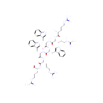 N=C(N)NCCC[C@H](NC(=O)[C@H](CCCNC(=N)N)NC(=O)[C@H](Cc1c[nH]c2ccccc12)NC(=O)[C@H](Cc1c[nH]c2ccccc12)NC(=O)[C@H](Cc1c[nH]c2ccccc12)NC(=O)[C@H](CCCNC(=N)N)NC(=O)[C@@H](N)CCCNC(=N)N)C(=O)O